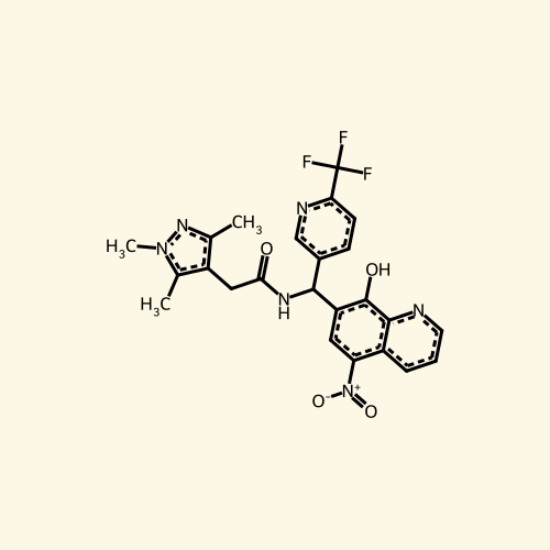 Cc1nn(C)c(C)c1CC(=O)NC(c1ccc(C(F)(F)F)nc1)c1cc([N+](=O)[O-])c2cccnc2c1O